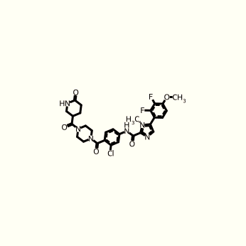 COc1ccc(-c2cnc(C(=O)Nc3ccc(C(=O)N4CCN(C(=O)C5CCC(=O)NC5)CC4)c(Cl)c3)n2C)c(F)c1F